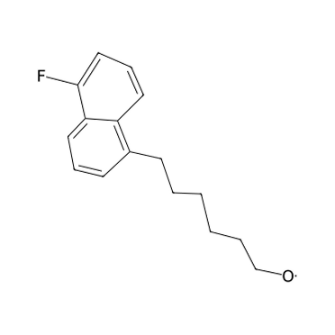 [O]CCCCCCc1cccc2c(F)cccc12